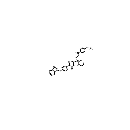 O=C(N[C@@H](CC1CCCCC1)C(=O)NCCNc1ccc(OC(F)(F)F)cc1)c1ccc(Cn2cnc3ccccc32)cc1